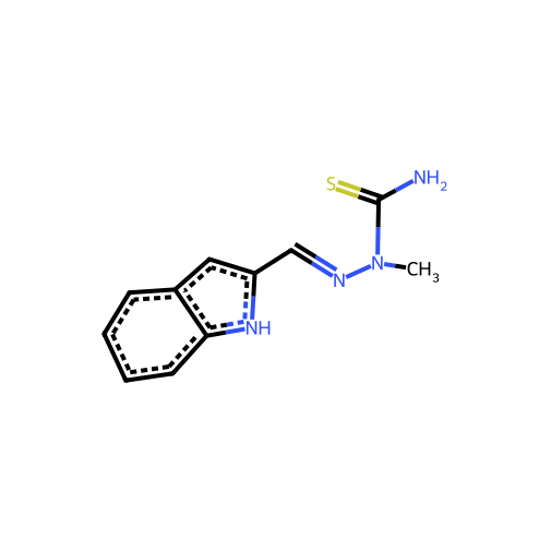 CN(/N=C/c1cc2ccccc2[nH]1)C(N)=S